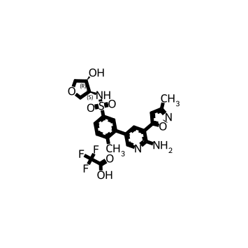 Cc1cc(-c2cc(-c3cc(S(=O)(=O)N[C@H]4COC[C@@H]4O)ccc3C)cnc2N)on1.O=C(O)C(F)(F)F